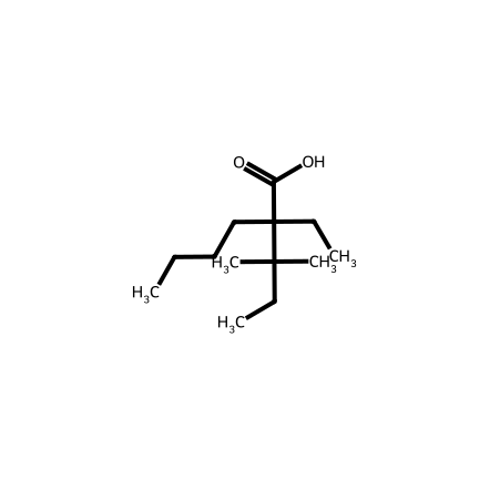 CCCCC(CC)(C(=O)O)C(C)(C)CC